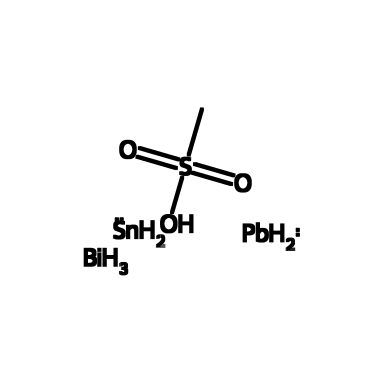 CS(=O)(=O)O.[BiH3].[PbH2].[SnH2]